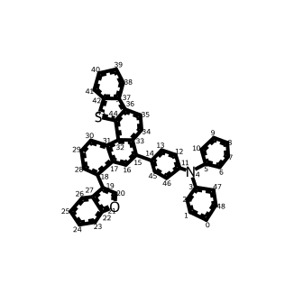 c1ccc(N(c2ccccc2)c2ccc(-c3cc4c(-c5coc6ccccc56)cccc4c4c3ccc3c5ccccc5sc34)cc2)cc1